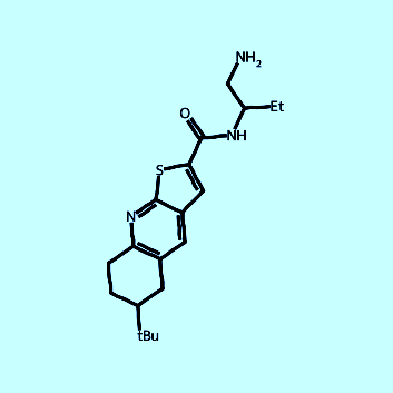 CCC(CN)NC(=O)c1cc2cc3c(nc2s1)CCC(C(C)(C)C)C3